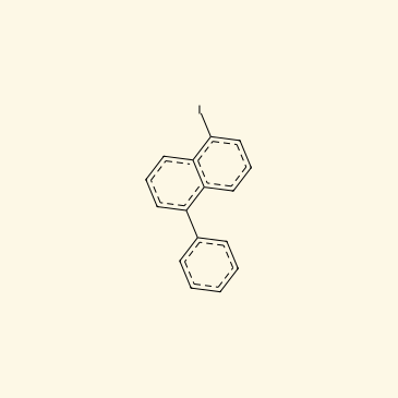 Ic1cccc2c(-c3ccccc3)cccc12